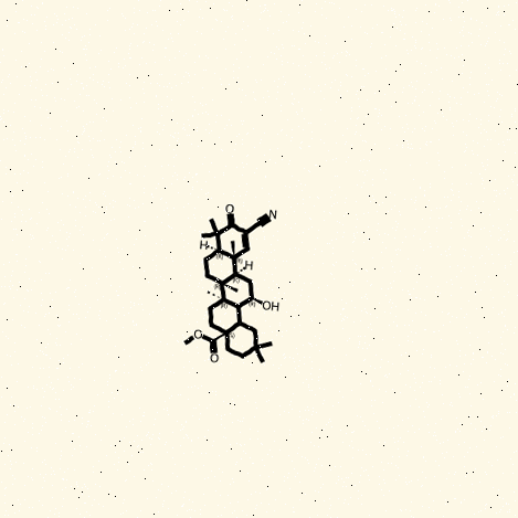 COC(=O)[C@]12CCC(C)(C)CC1C1[C@H](O)C[C@@H]3[C@@]4(C)C=C(C#N)C(=O)C(C)(C)[C@@H]4CC[C@@]3(C)[C@]1(C)CC2